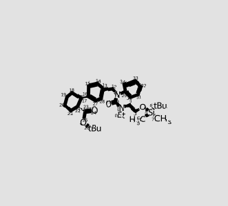 CCN(CCO[Si](C)(C)C(C)(C)C)C(=O)N(Cc1ccc([C@@H]2CCCC[C@H]2C(=O)OC(C)(C)C)cc1)c1ccccc1